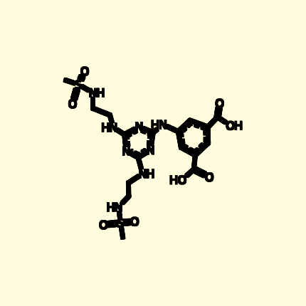 CS(=O)(=O)NCCNc1nc(NCCNS(C)(=O)=O)nc(Nc2cc(C(=O)O)cc(C(=O)O)c2)n1